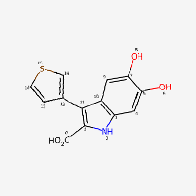 O=C(O)c1[nH]c2cc(O)c(O)cc2c1-c1ccsc1